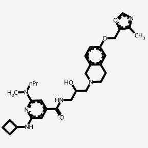 CCCN(C)c1cc(C(=O)NCC(O)CN2CCc3cc(OCc4ocnc4C)ccc3C2)cc(NC2CCC2)n1